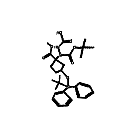 COC(=O)C1(N(NC(=O)O)C(=O)OC(C)(C)C)CCC(O[Si](c2ccccc2)(c2ccccc2)C(C)(C)C)C1